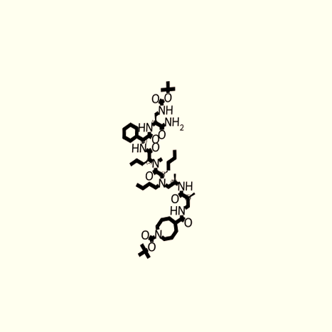 CCCC[C@@H](C(=O)N(C)[C@@H](CCC)C(=O)N[C@H](C(=O)N[C@@H](CNC(=O)OC(C)(C)C)C(N)=O)C1CCCCC1)N(CCCC)C[C@@H](C)NC(=O)[C@@H](C)CNC(=O)C1CCCN(C(=O)OC(C)(C)C)CCC1